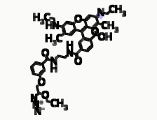 CC/N=c1/cc2oc3cc(NCC)c(C)cc3c(-c3cc(C(=O)NCCNC(=O)c4cccc(OCC(N=[N+]=[N-])OCC)c4)ccc3C(=O)O)c-2cc1C